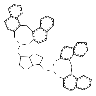 c1ccc2c3c(ccc2c1)OP(OC1COC2C(OP4Oc5ccc6ccccc6c5Cc5c(ccc6ccccc56)O4)COC12)Oc1ccc2ccccc2c1C3